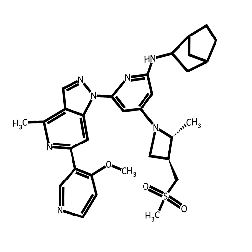 COc1ccncc1-c1cc2c(cnn2-c2cc(N3C[C@H](CS(C)(=O)=O)[C@H]3C)cc(NC3CC4CCC3C4)n2)c(C)n1